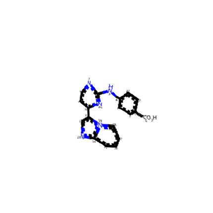 O=C(O)c1ccc(Nc2nccc(-c3cnc4ccccn34)n2)cc1